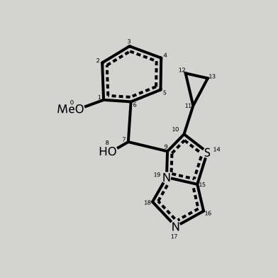 COc1ccccc1C(O)c1c(C2CC2)sc2cncn12